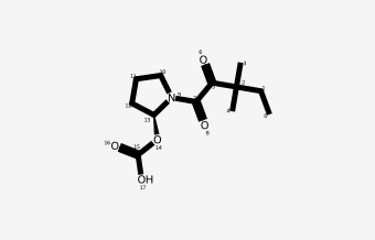 CCC(C)(C)C(=O)C(=O)N1CCC[C@@H]1OC(=O)O